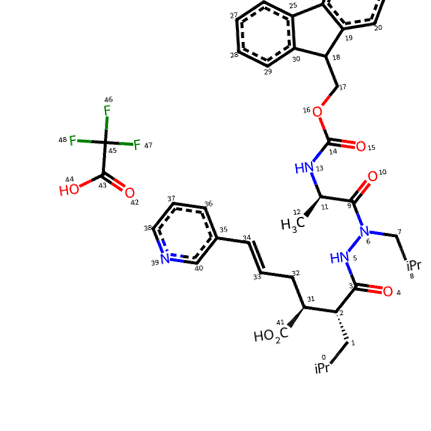 CC(C)C[C@@H](C(=O)NN(CC(C)C)C(=O)[C@@H](C)NC(=O)OCC1c2ccccc2-c2ccccc21)[C@H](CC=Cc1cccnc1)C(=O)O.O=C(O)C(F)(F)F